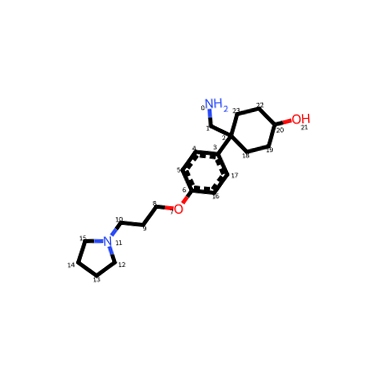 NCC1(c2ccc(OCCCN3CCCC3)cc2)CCC(O)CC1